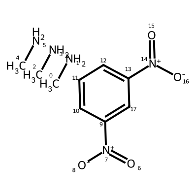 CN.CN.CN.O=[N+]([O-])c1cccc([N+](=O)[O-])c1